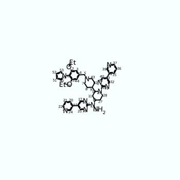 CCOc1cc(CN2CCC(C3CC(N(N)c4ncc(-c5cccnc5)cn4)CCN3c3ncc(-c4cccnc4)cn3)CC2)cc(OCC)c1-n1cccc1